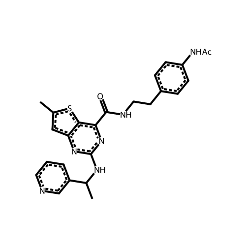 CC(=O)Nc1ccc(CCNC(=O)c2nc(NC(C)c3cccnc3)nc3cc(C)sc23)cc1